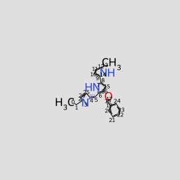 CCC1=N/C(=C/c2[nH]c(-c3ccc(C)[nH]3)cc2OCc2ccccc2)C=C1